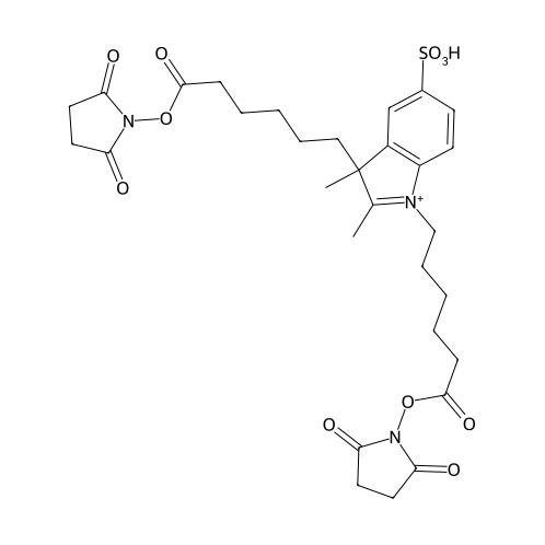 CC1=[N+](CCCCCC(=O)ON2C(=O)CCC2=O)c2ccc(S(=O)(=O)O)cc2C1(C)CCCCCC(=O)ON1C(=O)CCC1=O